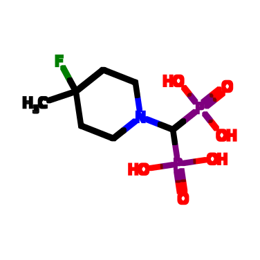 CC1(F)CCN(C(P(=O)(O)O)P(=O)(O)O)CC1